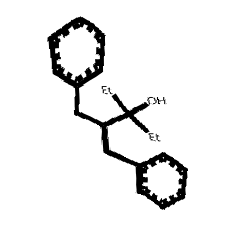 CCC(O)(CC)C(Cc1ccccc1)Cc1ccccc1